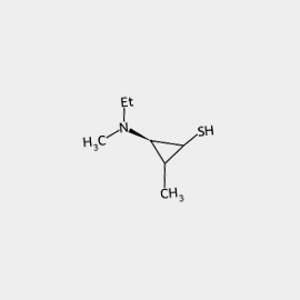 CCN(C)[C@@H]1C(C)C1S